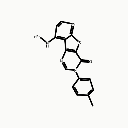 CCCNc1ccnc2sc3c(=O)n(-c4ccc(C)cc4)cnc3c12